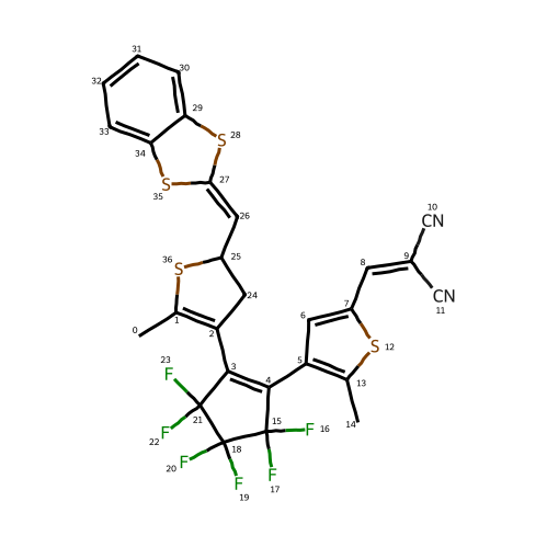 CC1=C(C2=C(c3cc(C=C(C#N)C#N)sc3C)C(F)(F)C(F)(F)C2(F)F)CC(C=C2Sc3ccccc3S2)S1